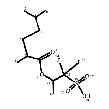 CC(C)CCC(C)C(=O)OC(C)C(F)(F)S(=O)(=O)O